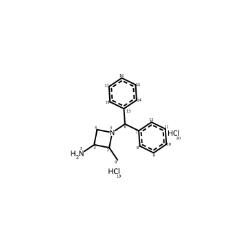 CC1C(N)CN1C(c1ccccc1)c1ccccc1.Cl.Cl